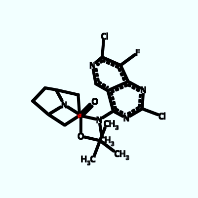 CN(c1nc(Cl)nc2c(F)c(Cl)ncc12)C1CC2CCC(C1)N2C(=O)OC(C)(C)C